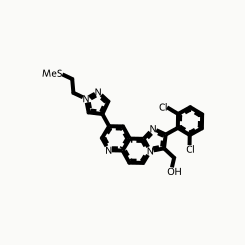 CSCCn1cc(-c2cnc3ccn4c(CO)c(-c5c(Cl)cccc5Cl)nc4c3c2)cn1